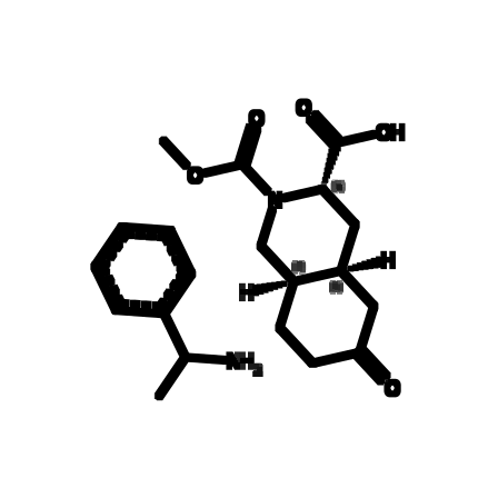 CC(N)c1ccccc1.COC(=O)N1C[C@@H]2CCC(=O)C[C@@H]2C[C@H]1C(=O)O